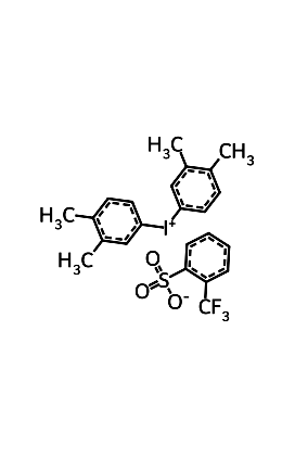 Cc1ccc([I+]c2ccc(C)c(C)c2)cc1C.O=S(=O)([O-])c1ccccc1C(F)(F)F